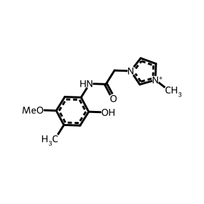 COc1cc(NC(=O)Cn2cc[n+](C)c2)c(O)cc1C